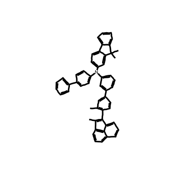 CC1=C(c2ccc(-c3cccc(N(c4ccc(-c5ccccc5)cc4)c4ccc5c(c4)C(C)(C)c4ccccc4-5)c3)cc2C)c2cccc3cccc1c23